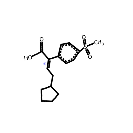 CS(=O)(=O)c1ccc(/C(=C\CC2CCCC2)C(=O)O)cc1